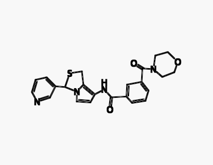 O=C(Nc1ccn2c1CSC2c1cccnc1)c1cccc(C(=O)N2CCOCC2)c1